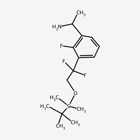 CC(N)c1cccc(C(F)(F)CO[Si](C)(C)C(C)(C)C)c1F